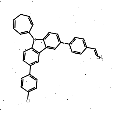 C=Cc1ccc(-c2ccc3c(c2)c2cc(-c4ccc(Cl)cc4)ccc2n3C2=CC=CCC=C2)cc1